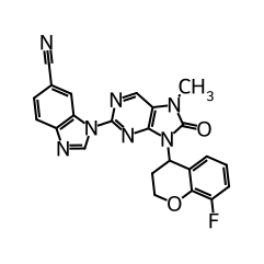 Cn1c(=O)n(C2CCOc3c(F)cccc32)c2nc(-n3cnc4ccc(C#N)cc43)ncc21